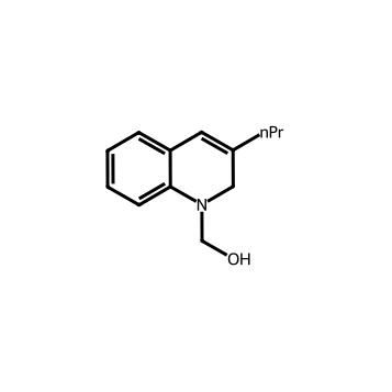 CCCC1=Cc2ccccc2N(CO)C1